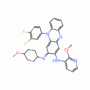 COc1ncccc1Nc1cc2nc3ccccc3n(-c3ccc(F)c(F)c3)c-2c/c1=N\C1CCC(OC)CC1